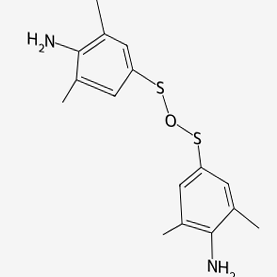 Cc1cc(SOSc2cc(C)c(N)c(C)c2)cc(C)c1N